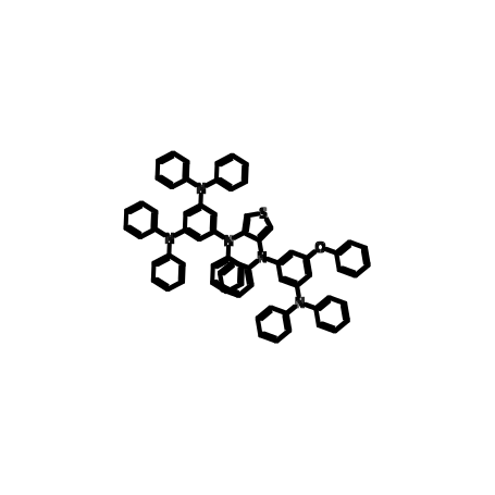 c1ccc(Oc2cc(N(c3ccccc3)c3ccccc3)cc(N(c3ccccc3)c3cscc3N(c3ccccc3)c3cc(N(c4ccccc4)c4ccccc4)cc(N(c4ccccc4)c4ccccc4)c3)c2)cc1